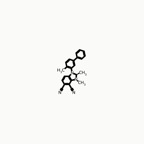 Cc1ccc(-c2ccccc2)cc1N1c2ccc(C#N)c(C#N)c2N(C)[C@@H]1C